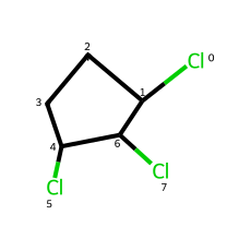 ClC1[CH]CC(Cl)C1Cl